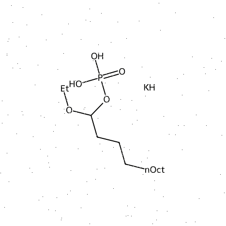 CCCCCCCCCCCC(OCC)OP(=O)(O)O.[KH]